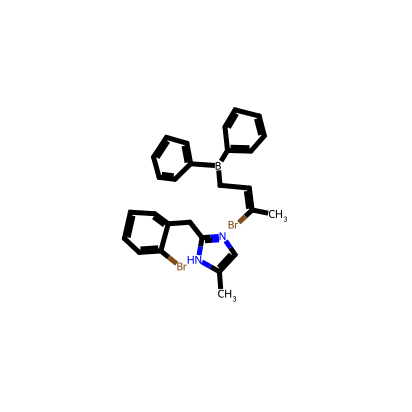 CC(Br)=CCB(c1ccccc1)c1ccccc1.Cc1cnc(Cc2ccccc2Br)[nH]1